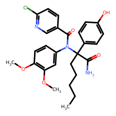 CCCCCC(C(N)=O)(c1ccc(O)cc1)N(C(=O)c1ccc(Cl)nc1)c1ccc(OC)c(OC)c1